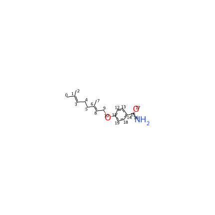 CC(C)=CCC/C(C)=C/COc1ccc(C(N)=O)cc1